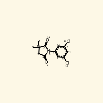 CC1(C)CC(=O)N(c2cc(Cl)cc(Cl)c2)C1=O